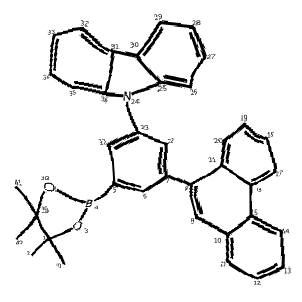 CC1(C)OB(c2cc(-c3cc4ccccc4c4ccccc34)cc(-n3c4ccccc4c4ccccc43)c2)OC1(C)C